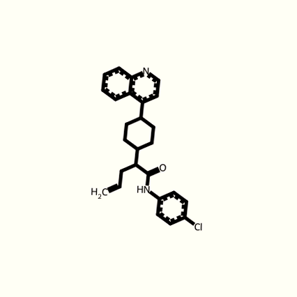 C=CCC(C(=O)Nc1ccc(Cl)cc1)C1CCC(c2ccnc3ccccc23)CC1